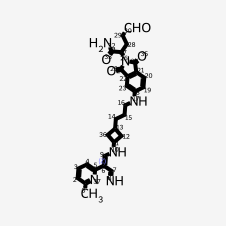 Cc1cccc(/C(C=N)=C/NC2CC(CCCNc3ccc4c(c3)C(=O)N(C(CCC=O)C(N)=O)C4=O)C2)n1